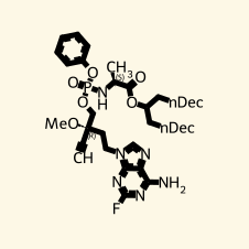 C#C[C@](CCn1cnc2c(N)nc(F)nc21)(COP(=O)(N[C@@H](C)C(=O)OC(CCCCCCCCCCC)CCCCCCCCCCC)Oc1ccccc1)OC